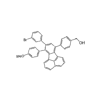 COc1ccc(-c2c(-c3cccc(Br)c3)cc(-c3ccc(CO)cc3)c3c2-c2cccc4cccc-3c24)cc1